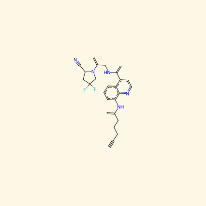 C#CCCCC(=C)Nc1cccc2c(C(=C)NCC(=C)N3CC(F)(F)CC3C#N)ccnc12